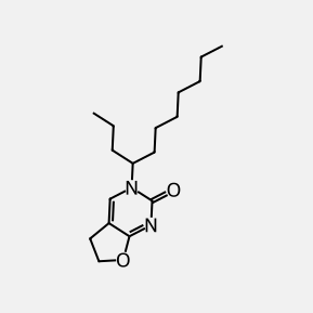 CCCCCCCC(CCC)n1cc2c(nc1=O)OCC2